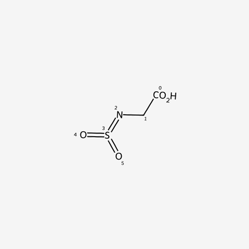 O=C(O)CN=S(=O)=O